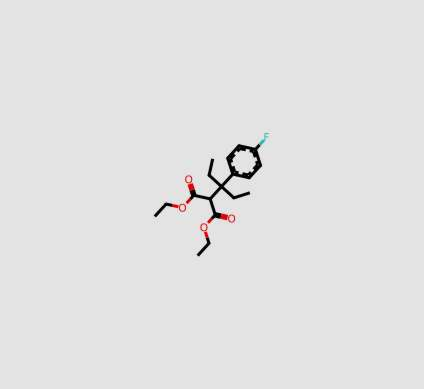 CCOC(=O)C(C(=O)OCC)C(CC)(CC)c1ccc(F)cc1